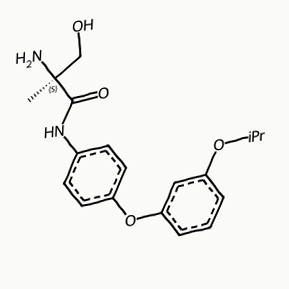 CC(C)Oc1cccc(Oc2ccc(NC(=O)[C@@](C)(N)CO)cc2)c1